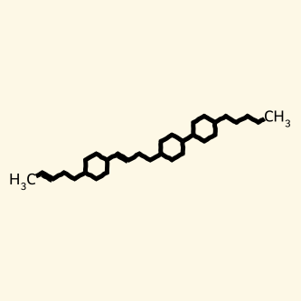 CC=CCCC1CCC(C=CCCC2CCC(C3CCC(CCCCC)CC3)CC2)CC1